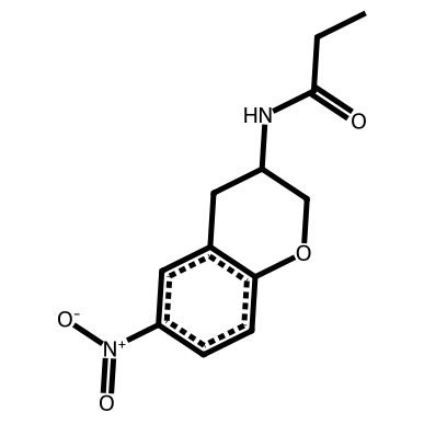 CCC(=O)NC1COc2ccc([N+](=O)[O-])cc2C1